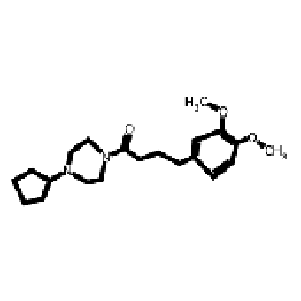 COc1ccc(CCCC(=O)N2CCN(C3CCCC3)CC2)cc1OC